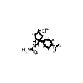 CN(C)c1ccc(C2(CNC(N)=O)CCCC2)cc1.Cl